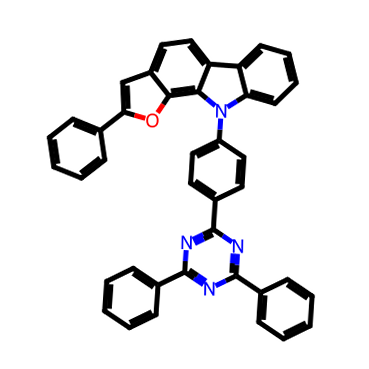 c1ccc(-c2nc(-c3ccccc3)nc(-c3ccc(-n4c5ccccc5c5ccc6cc(-c7ccccc7)oc6c54)cc3)n2)cc1